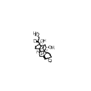 CC(=O)[C@]12[C@@H](O)C[C@@]3(C)[C@@H](CC[C@]3(O)C(=O)CO)[C@@H]1CCC1=CC(=O)CC[C@@]12C